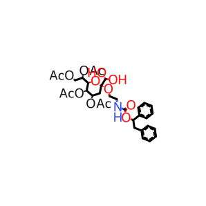 CC(=O)OC[C@@H](OC(C)=O)[C@H]1O[C@@](OCCNC(=O)OC(Cc2ccccc2)c2ccccc2)(C(O)O)C[C@@H](OC(C)=O)[C@H]1OC(C)=O